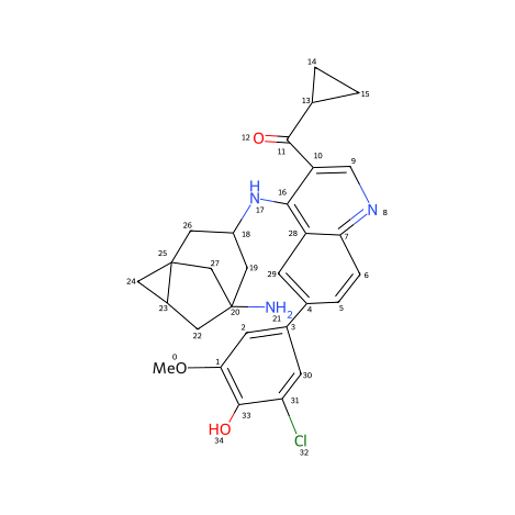 COc1cc(-c2ccc3ncc(C(=O)C4CC4)c(NC4CC5(N)CC6CC6(C4)C5)c3c2)cc(Cl)c1O